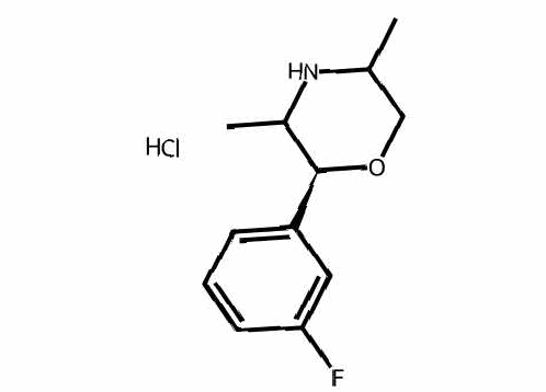 CC1CO[C@@H](c2cccc(F)c2)C(C)N1.Cl